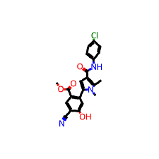 COC(=O)c1cc(C#N)c(O)cc1-c1cc(C(=O)Nc2ccc(Cl)cc2)c(C)n1C